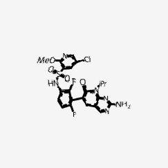 COc1ncc(Cl)cc1S(=O)(=O)Nc1ccc(F)c(-c2cc3cnc(N)nc3n(C(C)C)c2=O)c1F